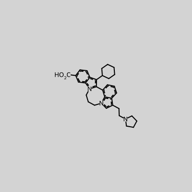 O=C(O)c1ccc2c(C3CCCCC3)c3n(c2c1)CCCn1cc(CCN2CCCC2)c2cccc-3c21